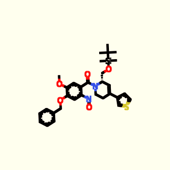 COc1cc(C(=O)N2CCC(c3ccsc3)=C[C@H]2CO[Si](C)(C)C(C)(C)C)c(N=O)cc1OCc1ccccc1